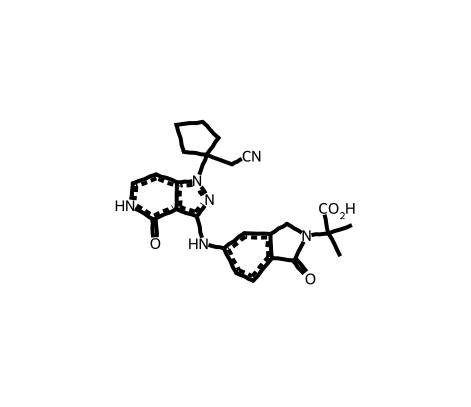 CC(C)(C(=O)O)N1Cc2cc(Nc3nn(C4(CC#N)CCCC4)c4cc[nH]c(=O)c34)ccc2C1=O